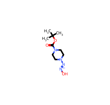 CC(C)(C)OC(=O)N1CCN(/N=N/O)CC1